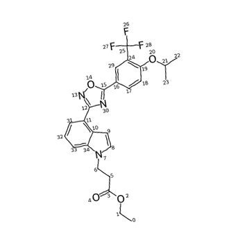 CCOC(=O)CCn1ccc2c(-c3noc(-c4ccc(OC(C)C)c(C(F)(F)F)c4)n3)cccc21